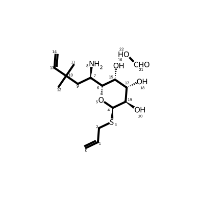 C=CCS[C@H]1O[C@H]([C@H](N)CC(C)(C)C=C)[C@H](O)[C@H](O)[C@H]1O.O=CO